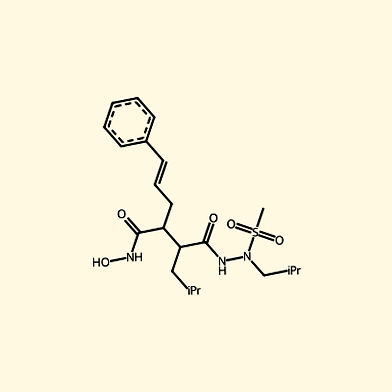 CC(C)CC(C(=O)NN(CC(C)C)S(C)(=O)=O)C(CC=Cc1ccccc1)C(=O)NO